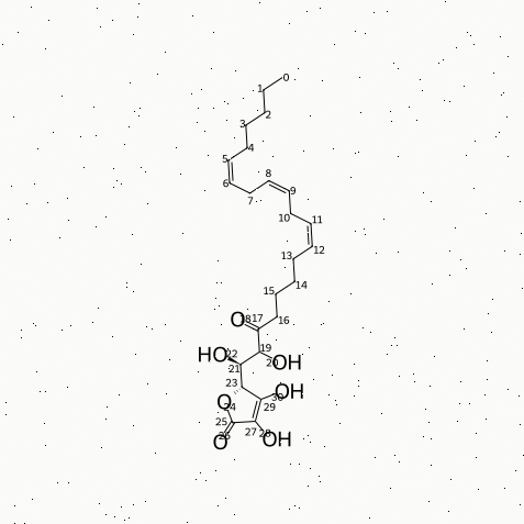 CCCCC/C=C\C/C=C\C/C=C\CCCCC(=O)C(O)[C@H](O)[C@H]1OC(=O)C(O)=C1O